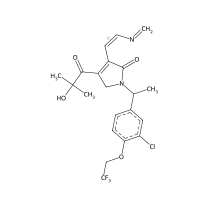 C=N/C=C\C1=C(C(=O)C(C)(C)O)CN(C(C)c2ccc(OCC(F)(F)F)c(Cl)c2)C1=O